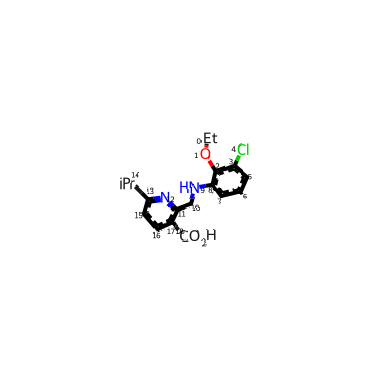 CCOc1c(Cl)cccc1NCc1nc(C(C)C)ccc1C(=O)O